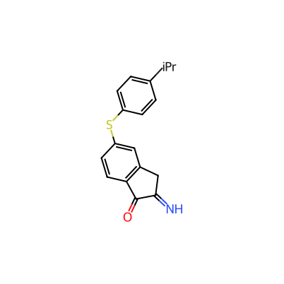 CC(C)c1ccc(Sc2ccc3c(c2)CC(=N)C3=O)cc1